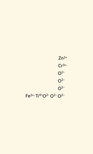 [Cr+3].[Fe+3].[O-2].[O-2].[O-2].[O-2].[O-2].[O-2].[Ti+4].[Zn+2]